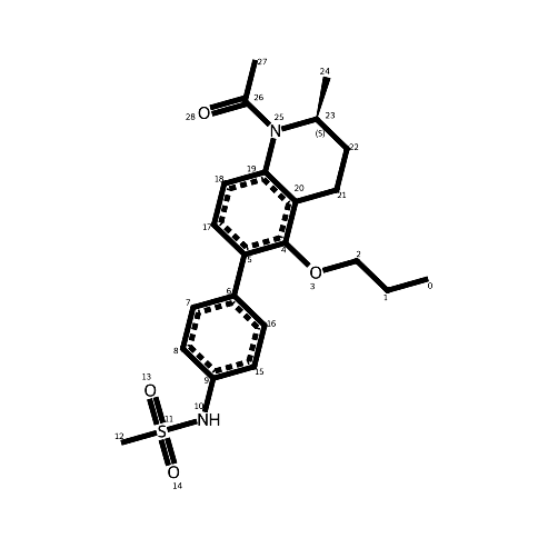 CCCOc1c(-c2ccc(NS(C)(=O)=O)cc2)ccc2c1CC[C@H](C)N2C(C)=O